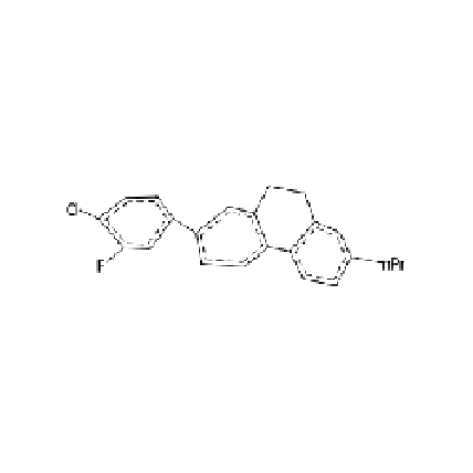 CCCc1ccc2c(c1)CCc1cc(-c3ccc(Cl)c(F)c3)ccc1-2